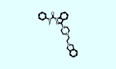 O=C(N(F)c1ccccc1)n1nc(N2CCN(CCN3Cc4ccccc4C3)CC2)c2ccccc21